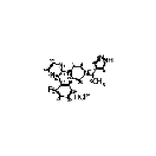 CC(c1cn[nH]c1)N1CCN(c2nccnc2-c2ccccc2F)CC1.Cl